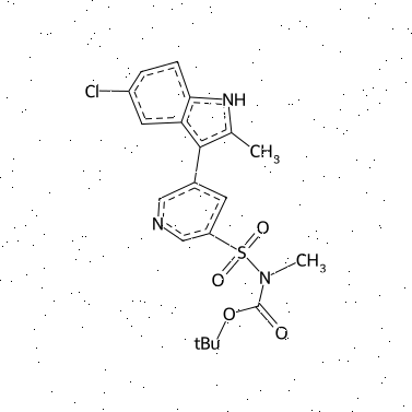 Cc1[nH]c2ccc(Cl)cc2c1-c1cncc(S(=O)(=O)N(C)C(=O)OC(C)(C)C)c1